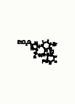 CCOC(=O)c1nc2n(n1)-c1ccc(Br)c(Cl)c1C(c1ncccc1F)=NC2C